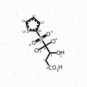 O=C(O)CC(O)C(Cl)(Cl)S(=O)(=O)c1cccs1